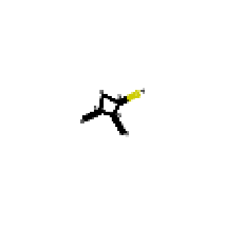 C=C1CC(=S)C1=C